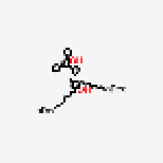 CCCCCCCCCCCCCCCCCCc1cc(C)cc(CCCCCCCCCCCCCCCCCC)c1O.Oc1c(C2CCCCC2)cc(C2CCCCC2)cc1C1CCCCC1